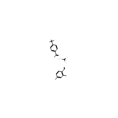 C/C(=N\NC(=N)N/N=C/c1ccc(Cl)cc1C)c1ccc(C(F)(F)F)cc1